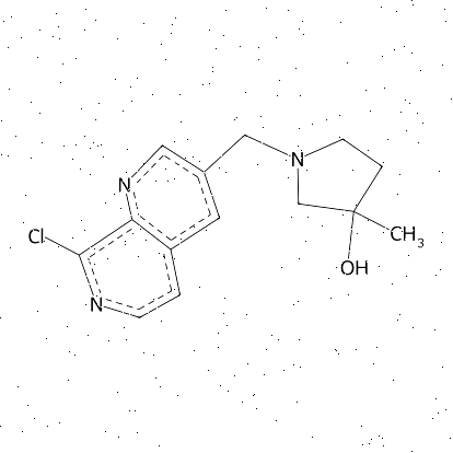 CC1(O)CCN(Cc2cnc3c(Cl)nccc3c2)C1